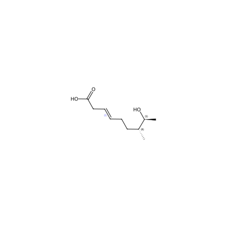 C[C@H](O)[C@H](C)CC/C=C/CC(=O)O